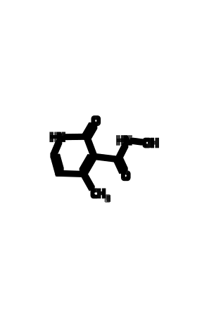 Cc1cc[nH]c(=O)c1C(=O)NO